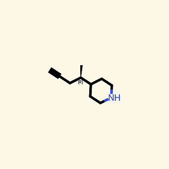 C#CC[C@@H](C)C1CCNCC1